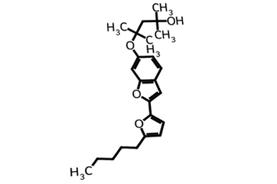 CCCCCc1ccc(-c2cc3ccc(OC(C)(C)CC(C)(C)O)cc3o2)o1